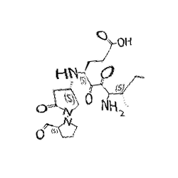 CC[C@H](C)C(N)C(=O)C(=O)[C@H](CCC(=O)O)N[C@H]1CC(=O)N(N2CCC[C@H]2C=O)C1